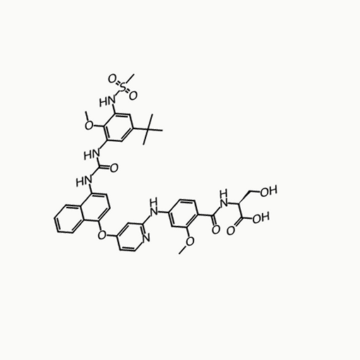 COc1cc(Nc2cc(Oc3ccc(NC(=O)Nc4cc(C(C)(C)C)cc(NS(C)(=O)=O)c4OC)c4ccccc34)ccn2)ccc1C(=O)N[C@@H](CO)C(=O)O